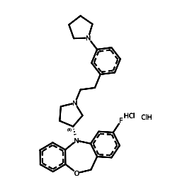 Cl.Cl.Fc1ccc2c(c1)N([C@@H]1CCN(CCc3cccc(N4CCCC4)c3)C1)c1ccccc1OC2